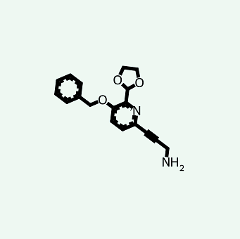 NCC#Cc1ccc(OCc2ccccc2)c(C2OCCO2)n1